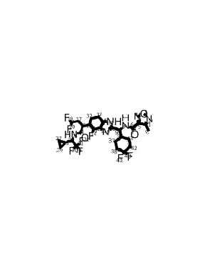 Cc1nonc1C(=O)NC(c1nc2c(F)c(C(CC(F)F)C(=O)NC(C3CC3)C(F)(F)F)ccc2[nH]1)C1CCC(F)(F)CC1